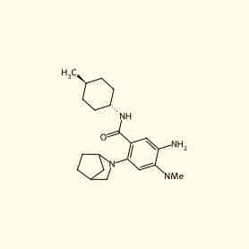 CNc1cc(N2CC3CCC2C3)c(C(=O)N[C@H]2CC[C@H](C)CC2)cc1N